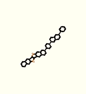 c1ccc(-c2ccc3cc(-c4ccc(-c5ccc6cc7c(cc6c5)sc5c6cc8ccccc8cc6sc75)cc4)ccc3c2)cc1